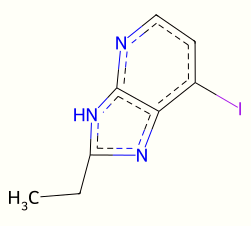 CCc1nc2c(I)ccnc2[nH]1